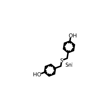 Oc1ccc(CSCc2ccc(O)cc2)cc1.[Sn]